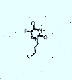 O=c1[nH]c(=O)n(CCCCl)cc1F